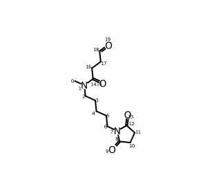 CN(CCCCCN1C(=O)CCC1=O)C(=O)CCC=O